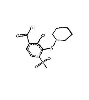 CS(=O)(=O)c1ccc(C(=O)O)c(Cl)c1SC1CCCCC1